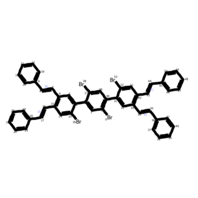 Brc1cc(-c2cc(/C=C/c3ccccc3)c(/C=C/c3ccccc3)cc2Br)c(Br)cc1-c1cc(/C=C/c2ccccc2)c(/C=C/c2ccccc2)cc1Br